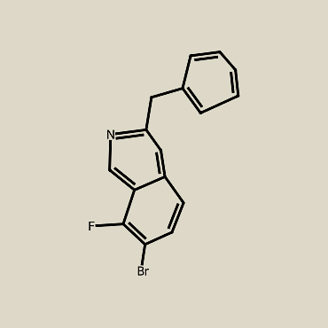 Fc1c(Br)ccc2cc(Cc3ccccc3)ncc12